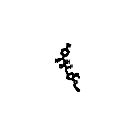 C#CCOc1ccc(CC(F)C(=O)NC(C#N)c2ccc(Br)cc2)cc1OC